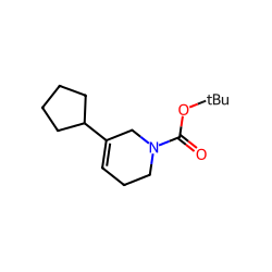 CC(C)(C)OC(=O)N1CCC=C(C2CCCC2)C1